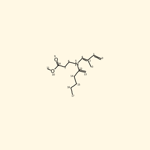 C=C/C(C)=C/N(CCC(=O)OC)C(=C)CCCC